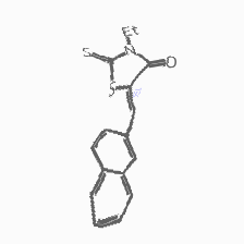 CCN1C(=O)/C(=C/c2ccc3ccccc3c2)SC1=S